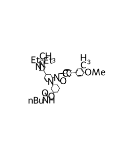 CCCCNC(=O)O[C@H]1CC[C@H](C(=O)N(CC23CCC(c4ccc(OC)c(C)c4)(CC2)CC3)c2cc(-c3cnn(C(C)(CC)CC)c3)ccn2)CC1